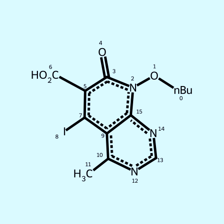 CCCCOn1c(=O)c(C(=O)O)c(I)c2c(C)ncnc21